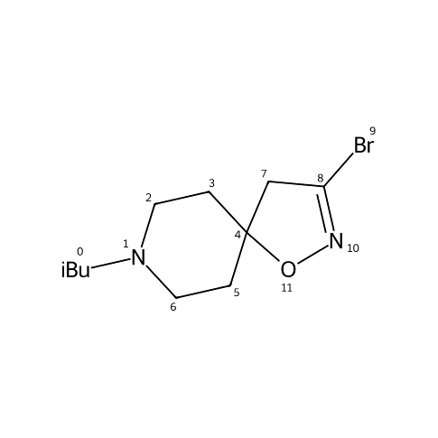 CCC(C)N1CCC2(CC1)CC(Br)=NO2